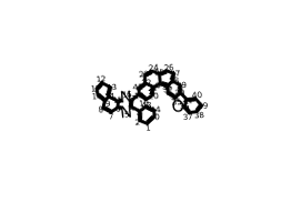 c1ccc(-c2nc3ccc4ccccc4c3nc2-c2ccc3c(ccc4ccc5cc6c(cc5c43)oc3ccccc36)c2)cc1